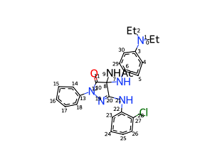 CCN(CC)c1ccc(NC2(NC(C)=O)C(=O)N(c3ccccc3)N=C2Nc2ccccc2Cl)cc1